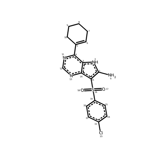 Nc1[nH]c2c(C3=CCCCC3)ncnc2c1S(=O)(=O)c1ccc(Cl)cc1